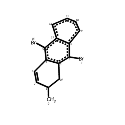 CC1C=Cc2c(c(Br)c3ccccc3c2Br)C1